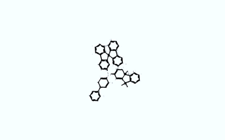 CC1(C)C2=CC(N(C3=CCC(c4ccccc4)C=C3)c3ccc4c(c3)C3(c5ccccc5-c5ccccc53)c3ccccc3-4)=CCC2(C)c2ccccc21